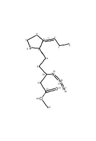 CC/C=C1/CCSC1CCC(CC(=O)OC)N=[N+]=[N-]